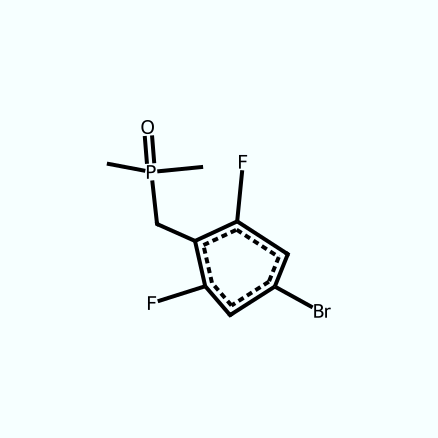 CP(C)(=O)Cc1c(F)cc(Br)cc1F